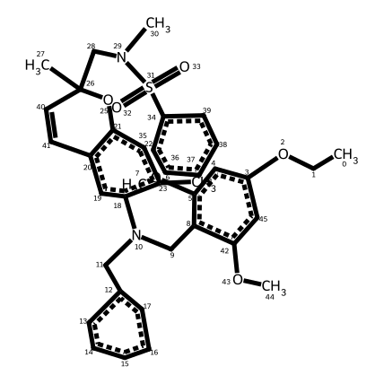 CCOc1cc(OC)c(CN(Cc2ccccc2)c2cc3c(cc2C)OC(C)(CN(C)S(=O)(=O)c2ccccc2)C=C3)c(OC)c1